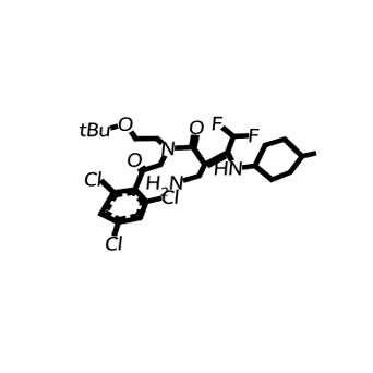 CC1CCC(N/C(=C(\CN)C(=O)N(CCOC(C)(C)C)CC(=O)c2c(Cl)cc(Cl)cc2Cl)C(F)F)CC1